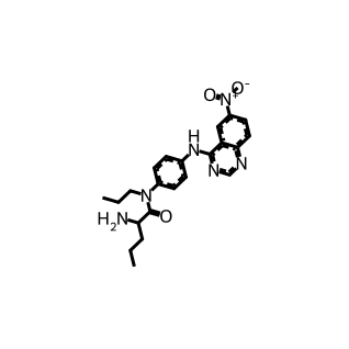 CCCC(N)C(=O)N(CCC)c1ccc(Nc2ncnc3ccc([N+](=O)[O-])cc23)cc1